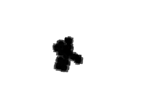 c1ccc(-c2ccc(-c3nc(-c4ccc(-c5ccccn5)cc4)c4cc(-c5ccc6c(c5)C5(c7ccccc7-c7ccccc75)c5ccccc5-6)cc(-c5ccc6c(c5)C5(c7ccccc7-c7ccccc75)c5ccccc5-6)c4n3)cc2)nc1